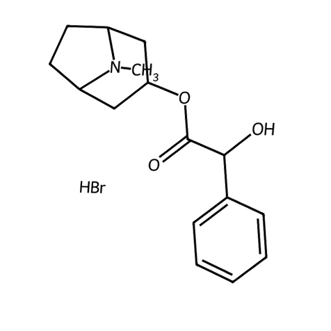 Br.CN1C2CCC1CC(OC(=O)C(O)c1ccccc1)C2